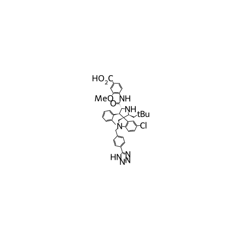 COc1cc(C(=O)O)ccc1NC(=O)[C@@H]1N[C@@H](CC(C)(C)C)[C@@]2(CN(Cc3ccc(-c4nnn[nH]4)cc3)c3ccc(Cl)cc32)[C@H]1c1ccccc1C